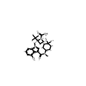 CN(C(=O)c1cn(C[C@@]2(C(C)(C)C)CCN2C(=O)O)c2cccc(Cl)c12)C1CCC(F)(F)CC1